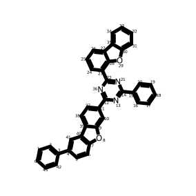 c1ccc(-c2ccc3oc4cc(-c5nc(-c6ccccc6)nc(-c6cccc7c6oc6ccccc67)n5)ccc4c3c2)cc1